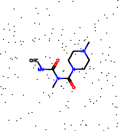 CN1CCN(C(=O)N(C)C(=O)NC=O)CC1